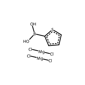 OB(O)c1cccs1.[Cl][Mg][Cl].[Cl][Mg][Cl]